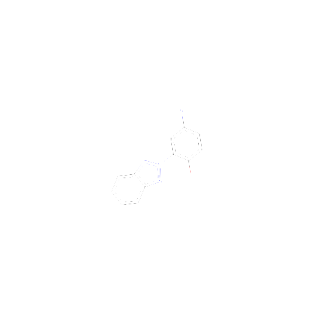 Nc1ccc(O)c(-n2nc3ccccc3n2)c1